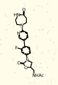 CC(=O)NCC1CN(c2ccc(-c3ccc(N4CCNC(=O)CC4)nc3)c(F)c2)C(=O)O1